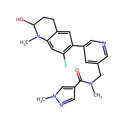 CN(Cc1cncc(-c2cc3c(cc2F)N(C)C(O)CC3)c1)C(=O)c1cnn(C)c1